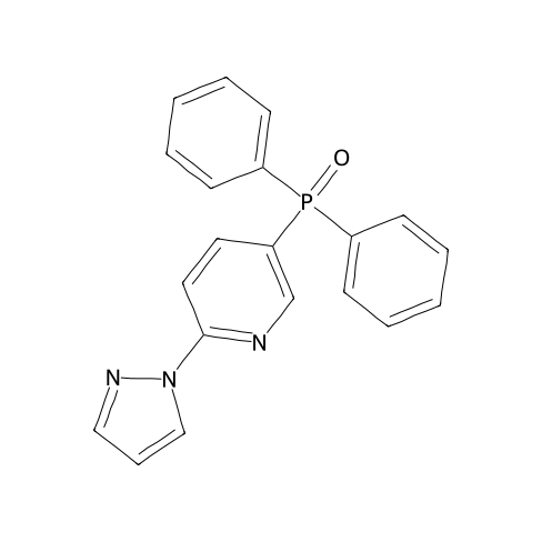 O=P(c1ccccc1)(c1ccccc1)c1ccc(-n2cccn2)nc1